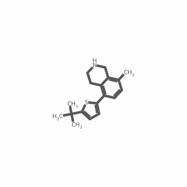 Cc1ccc(-c2ccc(C(C)(C)C)s2)c2c1CNCC2